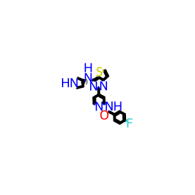 O=C(Nc1cc(-c2nc(N[C@@H]3CCNC3)c3sccc3n2)ccn1)c1ccc(F)cc1